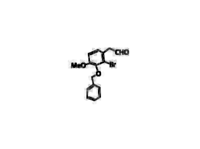 COc1ccc(CC=O)c(Br)c1OCc1ccccc1